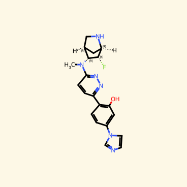 CN(c1ccc(-c2ccc(-n3ccnc3)cc2O)nn1)[C@@H]1[C@H]2CN[C@H](C2)[C@@H]1F